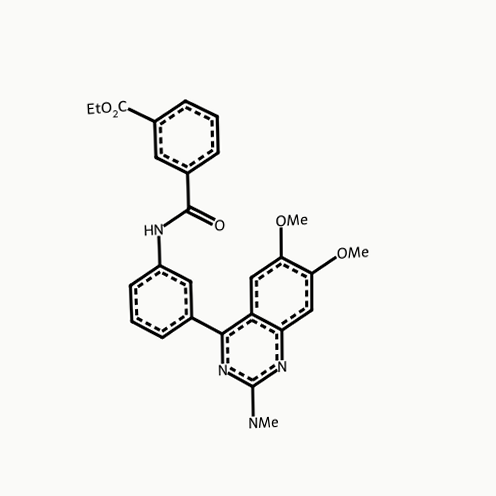 CCOC(=O)c1cccc(C(=O)Nc2cccc(-c3nc(NC)nc4cc(OC)c(OC)cc34)c2)c1